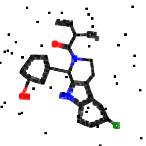 CC(=O)NC(C)C(=O)N1CCc2c([nH]c3ccc(Cl)cc23)C1c1cccc(O)c1